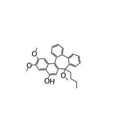 CCCCC1(OC)c2ccccc2-c2ccccc2-c2c1cc(O)c1cc(OC)c(OC)cc21